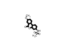 COc1ccc2c(c1)c(=O)oc1cc(NS(C)(=O)=O)ccc12